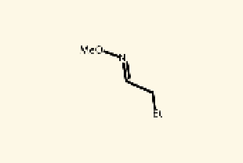 CCC/C=N/OC